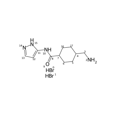 Br.Br.NCC1CCC(C(=O)Nc2ccn[nH]2)CC1